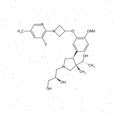 COc1ccc([C@@H]2CN(C[C@@H](O)CO)C[C@@]2(C)[C@@H](C)O)cc1OC1CN(c2ncc(C)cc2F)C1